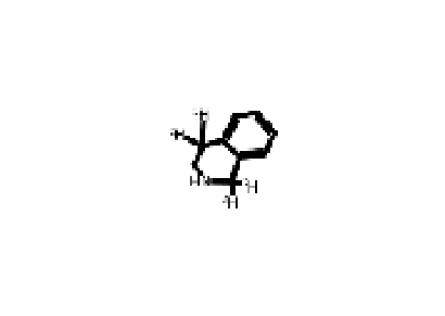 [2H]C1([2H])CNC([2H])([2H])c2ccccc21